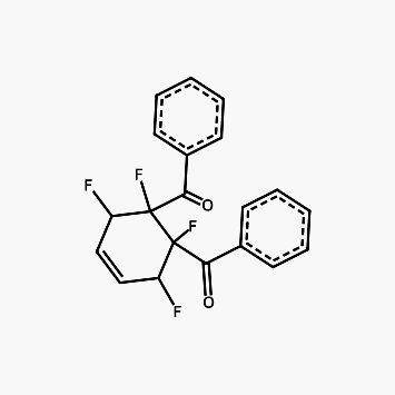 O=C(c1ccccc1)C1(F)C(F)C=CC(F)C1(F)C(=O)c1ccccc1